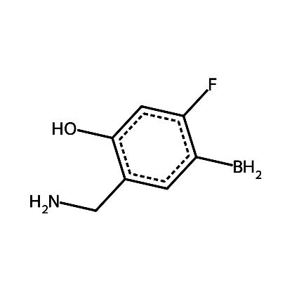 Bc1cc(CN)c(O)cc1F